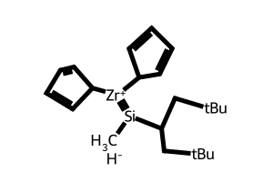 C[Si](C(CC(C)(C)C)CC(C)(C)C)=[Zr+]([CH]1C=CC=C1)[CH]1C=CC=C1.[H-]